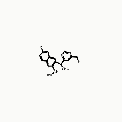 CC(C)(C)Cc1cc(C(C=O)c2cc3cc(Br)ccc3nc2NC(C)(C)C)ncn1